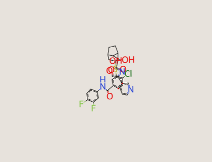 O=C(Nc1ccc(F)c(F)c1)c1ccc(Cl)c(S(=O)(=O)C2CC3CCC(C2)C3(O)C(O)c2nc(-c3cccnc3)co2)c1